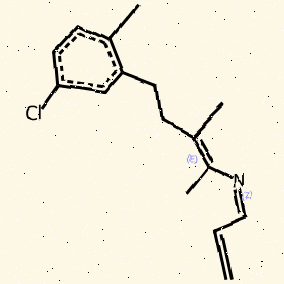 C=C/C=N\C(C)=C(/C)CCc1cc(Cl)ccc1C